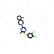 Cc1nc(N2CCC3(CCC[C@H]3C)CC2)cnc1Sc1ccc(Cl)c(Cl)c1